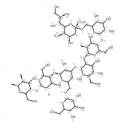 C[C@@H]1OC(CO)[C@@H](O[C@@H]2OC(CO)[C@@H](O[C@@H]3OC(CO[C@H]4OC(CO)[C@@H](O)C(O)[C@H]4O)[C@@H](O)C(O[C@H]4O[C@H](CO)[C@@H](O)C(O)C4O[C@@H]4OC(CO)[C@@H](O[C@@H]5OC(CO[C@]6(C(=O)O)C[C@@H](O)[C@@H](N)C([C@H](O)[C@H](O)CO)O6)[C@H](O)C(O)[C@@H]5O)C(O)[C@@H]4C)[C@H]3O)C(O)[C@@H]2C)C(O)[C@@H]1C